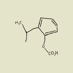 CC(F)c1ccccc1OC(=O)O